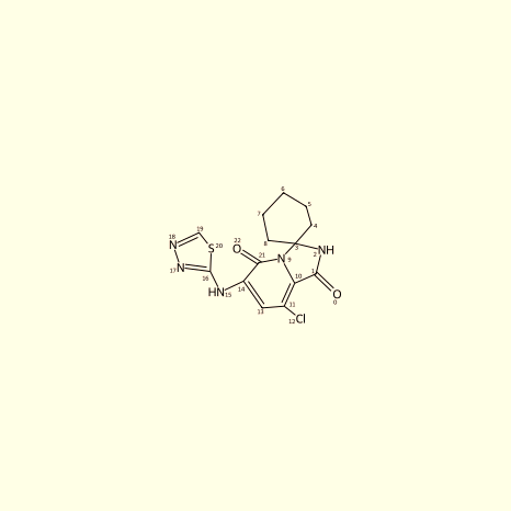 O=C1NC2(CCCCC2)n2c1c(Cl)cc(Nc1nncs1)c2=O